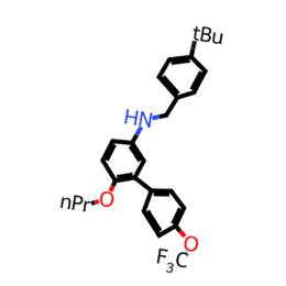 CCCOc1ccc(NCc2ccc(C(C)(C)C)cc2)cc1-c1ccc(OC(F)(F)F)cc1